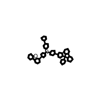 c1ccc(-c2ccc(N(c3ccc(-c4ccc(C5(c6ccccc6)c6ccccc6-c6ccccc65)cc4)cc3)c3ccc(-c4cccc5c4oc4ccccc45)cc3)cc2)cc1